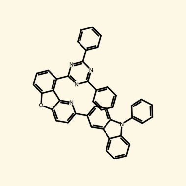 c1ccc(-c2nc(-c3ccccc3)nc(-c3cccc4oc5ccc(-c6ccc7c(c6)c6ccccc6n7-c6ccccc6)nc5c34)n2)cc1